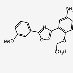 Bc1ccc(OCC(=O)O)c(-c2coc(-c3cccc(OC)c3)n2)c1